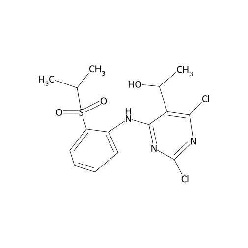 CC(O)c1c(Cl)nc(Cl)nc1Nc1ccccc1S(=O)(=O)C(C)C